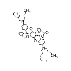 CCCCN(CCCC)c1ccc2c(c1)Oc1cc3c(cc1C21OCc2ccccc21)Oc1cc(N(CCCC)CCCC)ccc1C31OC(=O)c2ccccc21